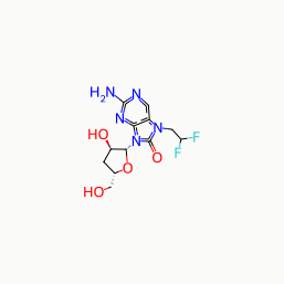 Nc1ncc2c(n1)n([C@@H]1O[C@H](CO)C[C@H]1O)c(=O)n2CC(F)F